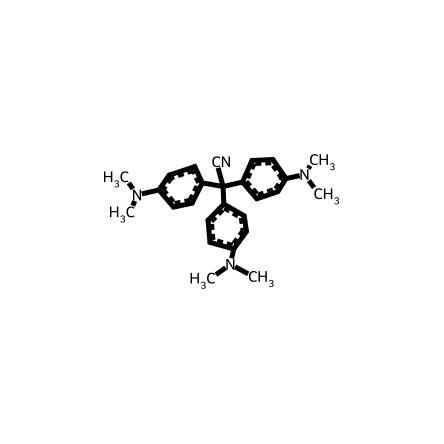 CN(C)c1ccc(C(C#N)(c2ccc(N(C)C)cc2)c2ccc(N(C)C)cc2)cc1